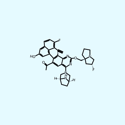 C#Cc1c(F)ccc2cc(O)cc(-c3c(C(C)=O)cc4c(N5C[C@H]6CC[C@@H](C5)N6)nc(OC[C@@]56CCCN5C[C@H](F)C6)nc4c3F)c12